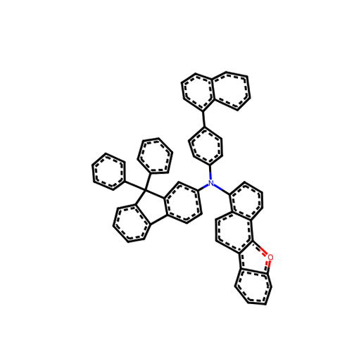 c1ccc(C2(c3ccccc3)c3ccccc3-c3ccc(N(c4ccc(-c5cccc6ccccc56)cc4)c4cccc5c4ccc4c6ccccc6oc54)cc32)cc1